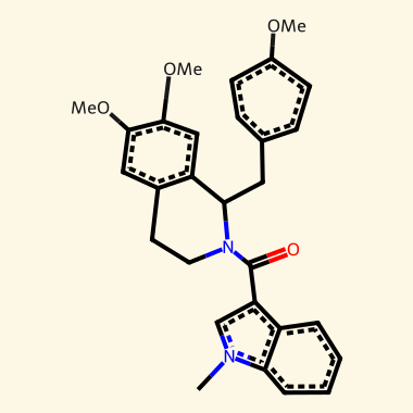 COc1ccc(CC2c3cc(OC)c(OC)cc3CCN2C(=O)c2cn(C)c3ccccc23)cc1